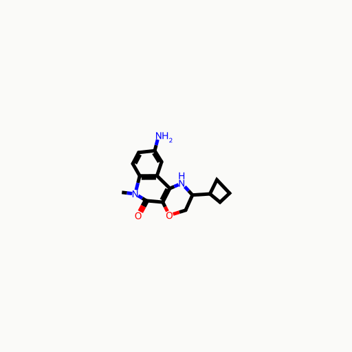 Cn1c(=O)c2c(c3cc(N)ccc31)NC(C1CCC1)CO2